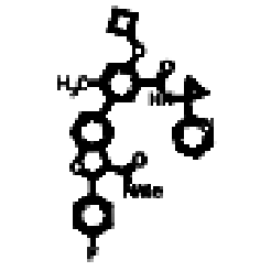 CNC(=O)C1c2cc(-c3cc(C(=O)NC4(c5ccccn5)CC4)c(OC4CCC4)cc3C)ccc2OC1c1ccc(F)cc1